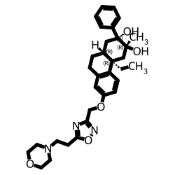 CC[C@@]12C[C@@](C)(O)[C@](O)(c3ccccc3)C[C@H]1CCc1cc(OCc3noc(CCN4CCOCC4)n3)ccc12